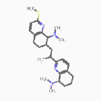 CSc1ccc2c(n1)C(N(C)C)C(CC(C)c1ccc3c(n1)[C@H](N(C)C)CCC3)CC2